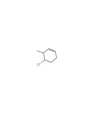 CC1C=CCCC1Cl